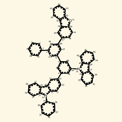 c1ccc(-c2nc(-c3cc(-c4ccc5c(c4)c4ccccc4n5-c4ccccc4)cc(-n4c5ccccc5c5ccccc54)c3)cc(-c3ccc4oc5ccccc5c4c3)n2)cc1